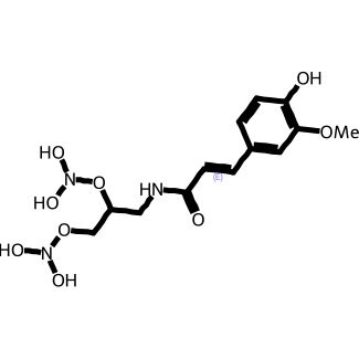 COc1cc(/C=C/C(=O)NCC(CON(O)O)ON(O)O)ccc1O